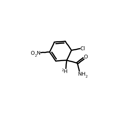 [2H]C1(C(N)=O)C=C([N+](=O)[O-])C=CC1Cl